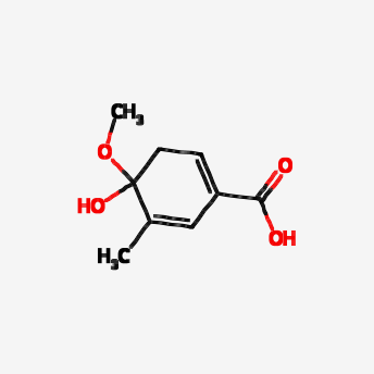 COC1(O)CC=C(C(=O)O)C=C1C